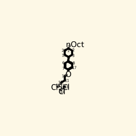 CCCCCCCCC1CCC(c2ccc(OCCC[Si](Cl)(Cl)Cl)cc2)CC1